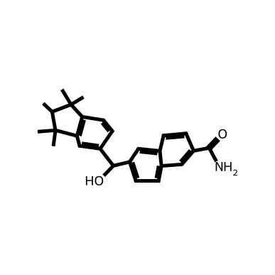 CC1C(C)(C)c2ccc(C(O)c3ccc4cc(C(N)=O)ccc4c3)cc2C1(C)C